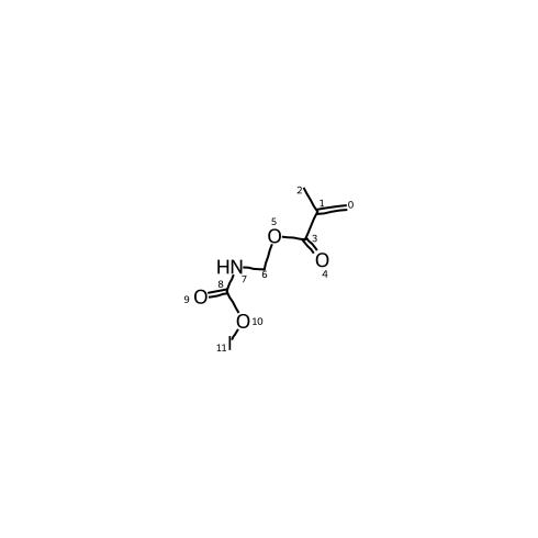 C=C(C)C(=O)OCNC(=O)OI